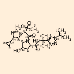 CC(C)n1cc(C(C)(C)NC(=O)C2CC(O)CN2C(=O)[C@@H](n2cc(C3CC3)nn2)C(C)(C)C)nn1